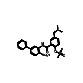 CN(C)Cc1ccc(OS(C)(=O)=O)c(C(=O)Nc2cc(-c3ccccc3)ccc2C(=O)O)c1